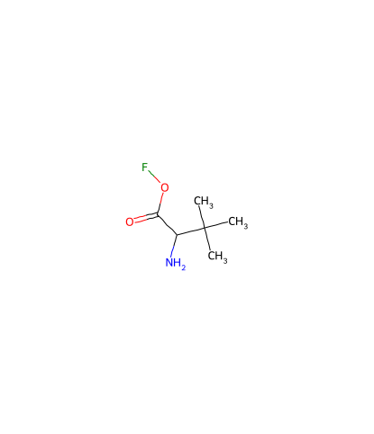 CC(C)(C)C(N)C(=O)OF